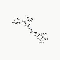 Oc1cc(CNC(=S)/C=C/c2cc(O)c(O)c(CSC3=NCCS3)c2)cc(O)c1O